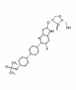 CS(C)(=O)=Nc1ccc(-c2ccc(-c3nc4cc(O[C@@H]5CO[C@H](CO)[C@H]5F)[nH]c4cc3F)cc2)cc1